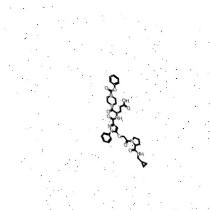 O=C(O)CCC(NC(=O)c1cc(OCC(=O)N2CCCC2C(=O)NCC2CC2)n(-c2ccccc2)n1)C(=O)N1CCN(C(=O)Oc2ccccc2)CC1